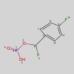 O=[PH](O)OC(F)c1ccc(F)cc1